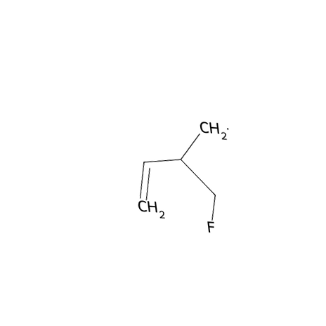 [CH2]C(C=C)CF